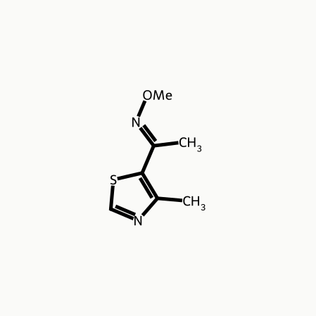 CON=C(C)c1scnc1C